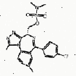 Cc1ccc2c(c1)C(c1ccc(Cl)cc1)=N[C@@H](COS(=O)(=O)N(C)C)c1nnc(C)n1-2